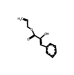 C=CCOC(=O)C(O)=Cc1ccccc1